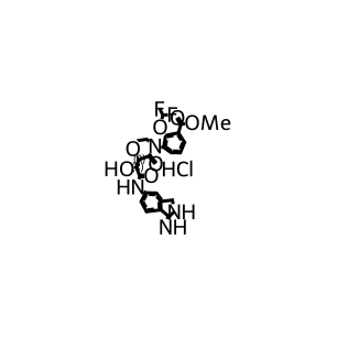 COC(=O)c1cccc(N2CCO[C@H]([C@@H](O)C(=O)Nc3ccc4c(c3)CNC4=N)C2=O)c1OC(F)F.Cl